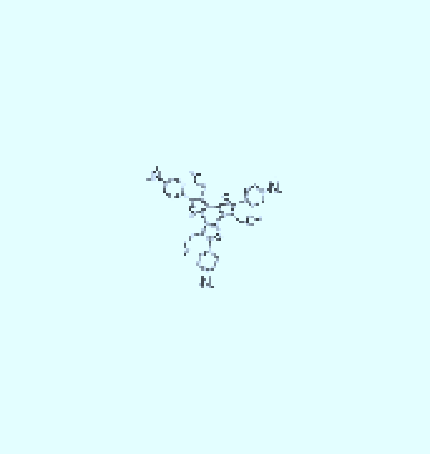 C=C=Cc1c(-c2ccc(N(C)C)cc2)sc2c1c1sc(-c3ccc(N(C)C)cc3)c(C=C=C)c1c1sc(-c3ccc(N(C)C)cc3)c(C=C=C)c21